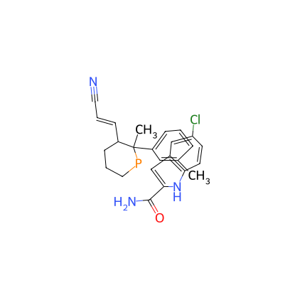 Cc1cccc(C2(C)C(C=CC#N)CCC[P@]2c2c(C(N)=O)[nH]c3ccc(Cl)cc23)c1